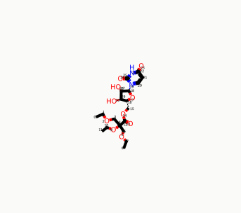 CCOCC(COCC)(OCC)C(=O)OC[C@H]1O[C@@H](n2ccc(=O)[nH]c2=O)[C@H](O)[C@@H]1O